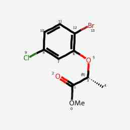 COC(=O)[C@@H](C)Oc1cc(Cl)ccc1Br